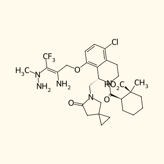 CN(N)/C(=C(\N)COc1ccc(Cl)c2c1[C@@H](CN1CC3(CC3)CC1=O)N(C(=O)[C@@H]1CCCC[C@]1(C)C(=O)O)CC2)C(F)(F)F